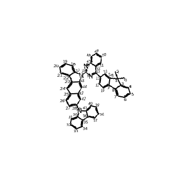 CC1(C)c2ccccc2-c2ccc(-c3nc(-n4c5ccccc5c5cc6ccc(-n7c8ccccc8c8ccccc87)cc6cc54)nc4ccccc34)cc21